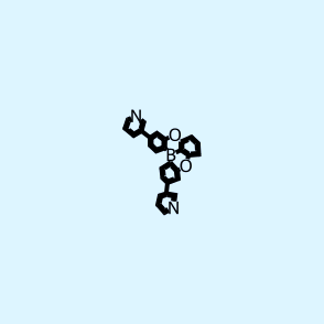 c1cncc(-c2ccc3c(c2)Oc2cccc4c2B3c2ccc(-c3cccnc3)cc2O4)c1